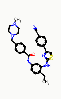 CCc1ccc(NC(=O)c2ccc(CN3CCN(C)CC3)cc2)cc1Nc1nc(-c2ccc(C#N)cc2)cs1